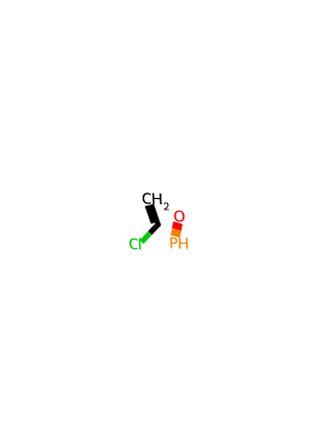 C=CCl.O=P